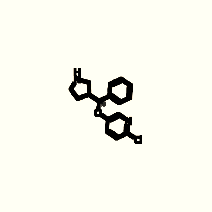 Clc1ccc(O[C@H](c2ccccc2)C2CCNC2)cn1